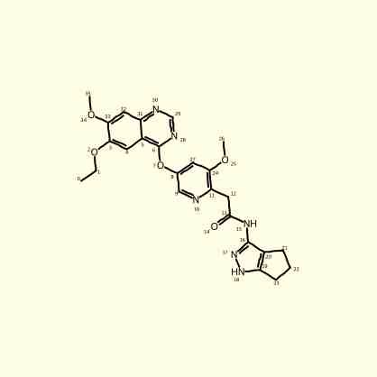 CCOc1cc2c(Oc3cnc(CC(=O)Nc4n[nH]c5c4CCC5)c(OC)c3)ncnc2cc1OC